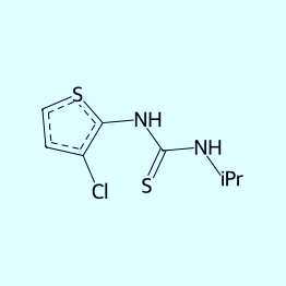 CC(C)NC(=S)Nc1sccc1Cl